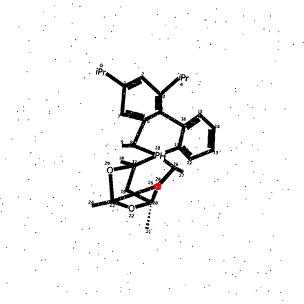 CC(C)c1cc(C(C)C)c2c(c1)C(C)[PH]1(c3ccccc3-2)C2(C)C[C@]3(C)OC(C)(CC1(C)O3)O2